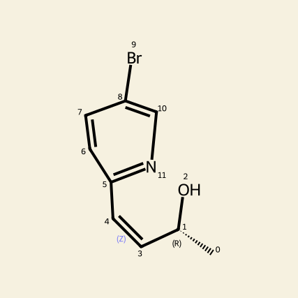 C[C@@H](O)/C=C\c1ccc(Br)cn1